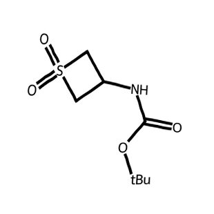 CC(C)(C)OC(=O)NC1CS(=O)(=O)C1